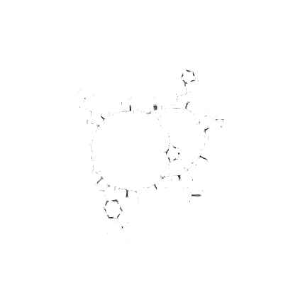 CC[C@@H]1NC(=O)[C@H]2Cc3cn(nn3)CCC[C@@H](NC(=O)[C@H](C)NC(=O)[C@H](NCSC(C)S)CCCCNC(=O)[C@H](Cc3ccc(C(F)(F)F)cc3)NC1=O)C(=O)N[C@@H](CCc1c[nH]cn1)C(=O)N[C@@H](CC1CC1)C(=O)NCC(=O)N[C@@H](CCC(=O)O)C(=O)N2